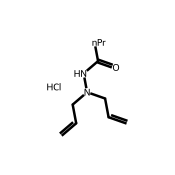 C=CCN(CC=C)NC(=O)CCC.Cl